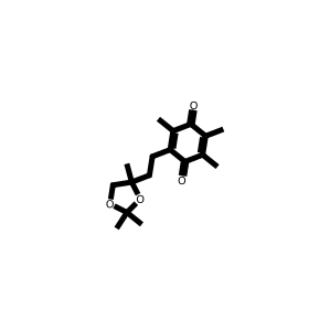 CC1=C(C)C(=O)C(CCC2(C)COC(C)(C)O2)=C(C)C1=O